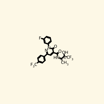 C[C@@H](NC(=O)c1cc(-c2ccc(C(F)(F)F)cc2)nn(-c2cccc(F)c2)c1=O)[C@@H](O)C(F)(F)F